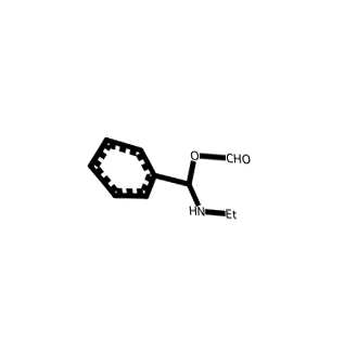 CCNC(OC=O)c1ccccc1